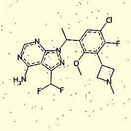 COc1c(C(C)n2nc(C(F)F)c3c(N)ncnc32)cc(Cl)c(F)c1C1CN(C)C1